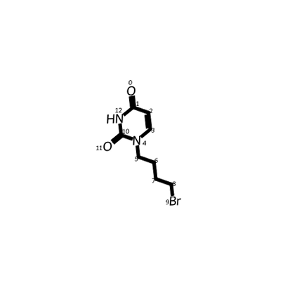 O=c1ccn(CCCCBr)c(=O)[nH]1